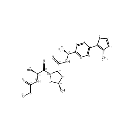 Cc1ncsc1-c1ccc([C@H](C)NC(=O)[C@@H]2C[C@@H](O)CN2C(=O)[C@@H](NC(=O)CS)C(C)(C)C)cc1